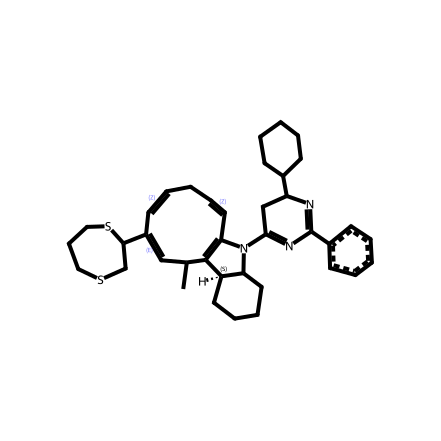 CC1/C=C(C2CSCCCS2)\C=C/C/C=C\C2=C1[C@@H]1CCCCC1N2C1=NC(c2ccccc2)=NC(C2CCCCC2)C1